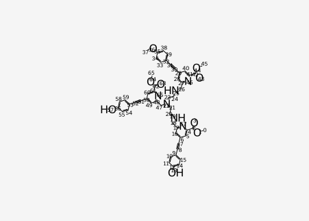 COC(=O)c1cc(C#Cc2ccc(O)cc2)cc(CNCCN(CCNCc2cc(C#Cc3ccc(OC)cc3)cc(C(=O)OC)n2)Cc2cc(C#Cc3ccc(O)cc3)cc(C(=O)OC)n2)n1